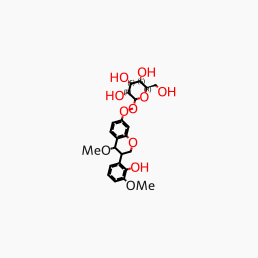 COc1cccc(C2COc3cc(OOC4O[C@H](CO)[C@@H](O)[C@H](O)[C@H]4O)ccc3C2OC)c1O